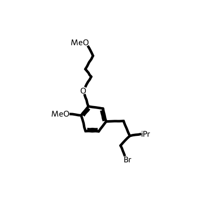 COCCCOc1cc(CC(CBr)C(C)C)ccc1OC